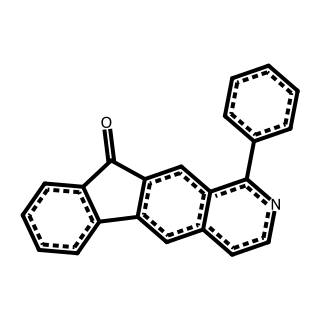 O=C1c2ccccc2-c2cc3ccnc(-c4ccccc4)c3cc21